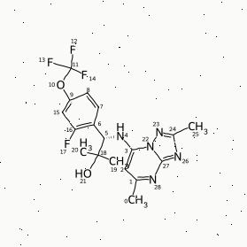 Cc1cc(N[C@@H](c2ccc(OC(F)(F)F)cc2F)C(C)(C)O)n2nc(C)nc2n1